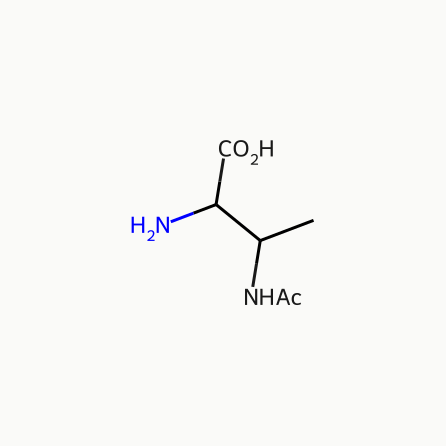 CC(=O)NC(C)C(N)C(=O)O